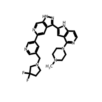 CN1CCN(c2nccc3[nH]c(-c4n[nH]c5cnc(-c6cncc(CN7CCC(F)(F)C7)c6)cc45)cc23)CC1